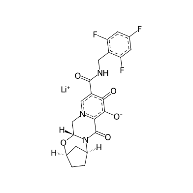 O=C(NCc1c(F)cc(F)cc1F)c1cn2c(c([O-])c1=O)C(=O)N1[C@H]3CC[C@H](C3)O[C@@H]1C2.[Li+]